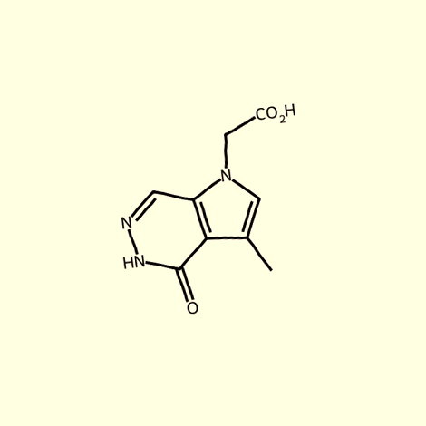 Cc1cn(CC(=O)O)c2cn[nH]c(=O)c12